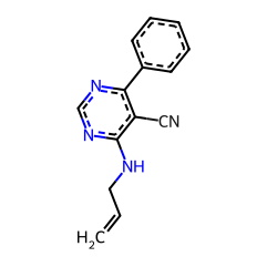 C=CCNc1ncnc(-c2ccccc2)c1C#N